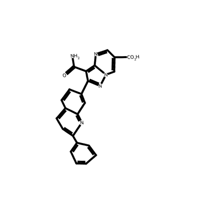 NC(=O)c1c(-c2ccc3ccc(-c4ccccc4)nc3c2)nn2cc(C(=O)O)cnc12